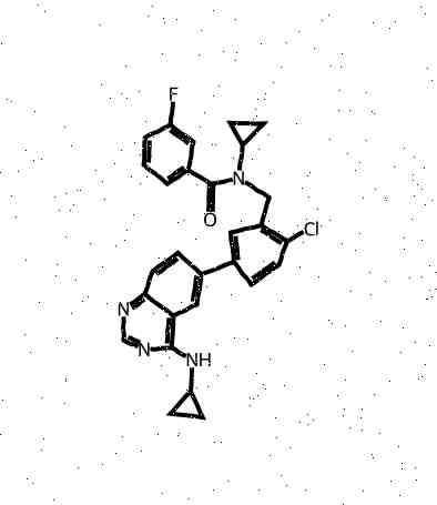 O=C(c1cccc(F)c1)N(Cc1cc(-c2ccc3ncnc(NC4CC4)c3c2)ccc1Cl)C1CC1